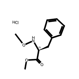 CON[C@@H](Cc1ccccc1)C(=O)OC.Cl